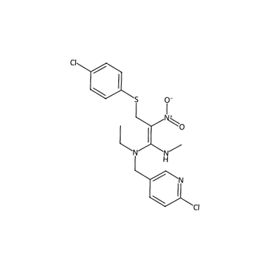 CCN(Cc1ccc(Cl)nc1)C(NC)=C(CSc1ccc(Cl)cc1)[N+](=O)[O-]